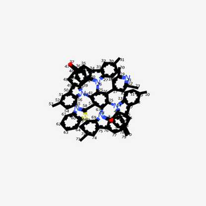 Cc1ccc2c(c1)c1cc(C)ccc1n2-c1c(-c2cc(C)nc(C)c2)c(-n2c3ccc(C)cc3c3cc(C)ccc32)c(-n2c3ccc(C)cc3c3cc(C)ccc32)c(-c2nc3ccccc3s2)c1-n1c2ccc(C)cc2c2cc(C)ccc21